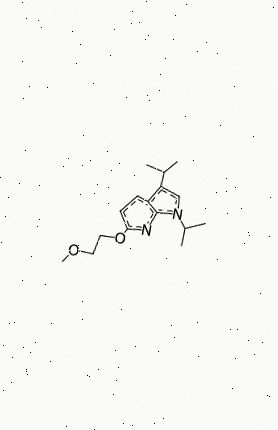 COCCOc1ccc2c(C(C)C)cn(C(C)C)c2n1